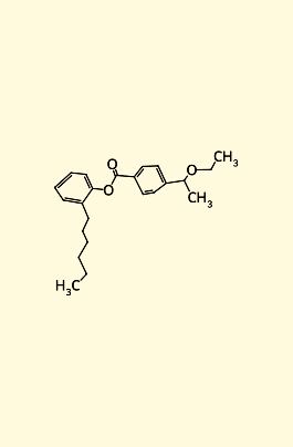 CCCCCCc1ccccc1OC(=O)c1ccc(C(C)OCC)cc1